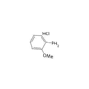 COc1ccccc1P.Cl